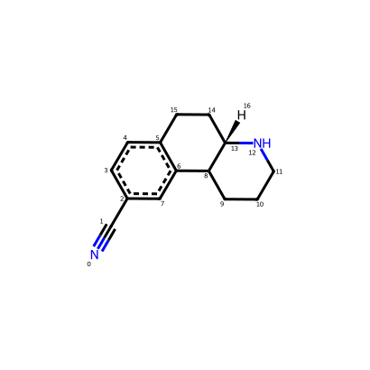 N#Cc1ccc2c(c1)C1CCCN[C@H]1CC2